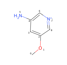 COC1=CC(N)=C[N+]=C1